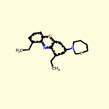 CCc1cccc2[s+]c3cc(N4CCCCCC4)cc(CC)c3nc12